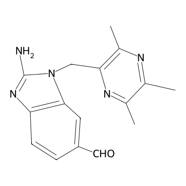 Cc1nc(C)c(Cn2c(N)nc3ccc(C=O)cc32)nc1C